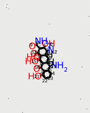 CN(C)[C@@H]1C(O)=C(C(N)=O)C(=O)[C@@]2(O)C(O)=C3C(=O)c4c(O)cccc4[C@H](N)[C@H]3C[C@@H]12